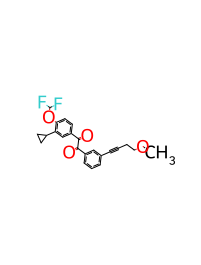 COCCC#Cc1cccc(C(=O)C(=O)c2ccc(OC(F)F)c(C3CC3)c2)c1